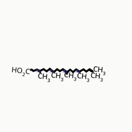 CC(C)=CCC/C(C)=C/CC/C(C)=C/CC/C(C)=C/CC/C(C)=C/CCC(=O)O